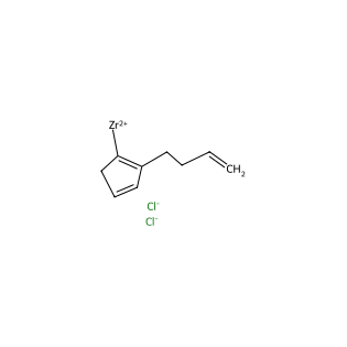 C=CCCC1=[C]([Zr+2])CC=C1.[Cl-].[Cl-]